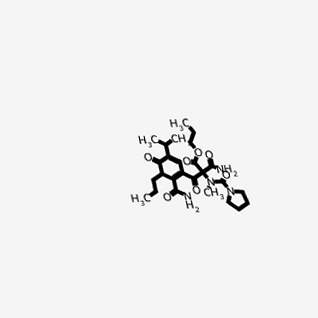 CCCOC(=O)C(C(N)=O)(C(=O)C1=C(C(N)=O)C(CCC)C(=O)C(C(C)C)=C1)N(C)C(=O)N1CCCC1